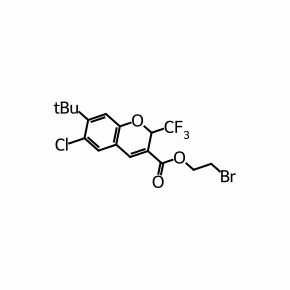 CC(C)(C)c1cc2c(cc1Cl)C=C(C(=O)OCCBr)C(C(F)(F)F)O2